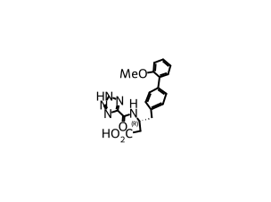 COc1ccccc1-c1ccc(C[C@H](CC(=O)O)NC(=O)c2nn[nH]n2)cc1